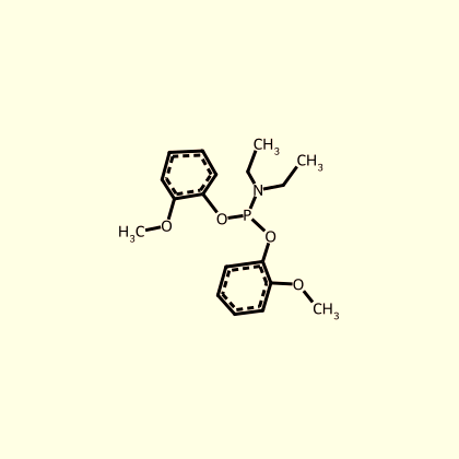 CCN(CC)P(Oc1ccccc1OC)Oc1ccccc1OC